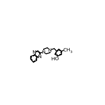 Cc1cc(O)cc(CN2CCN(c3cnc4ccccc4n3)CC2)c1